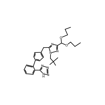 CCCOC(OCCC)c1nc(Cc2ccc(-c3ccccc3-c3nnn[nH]3)cc2)n(CC(C)(C)C)n1